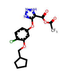 O=C(OC(=O)C(F)(F)F)c1[nH]nnc1Oc1ccc(Cl)c(OCC2CCCC2)c1